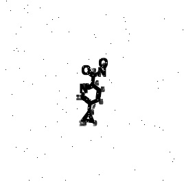 O=NC(=O)c1ccc(C2CC2)cn1